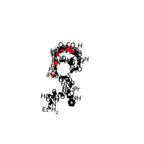 CCSC[C@H](N)C(=O)N[C@@H](CO)C(=O)NCC(=O)N[C@@H](Cc1c[nH]c2ccccc12)C(=O)N[C@H](C(=O)NC(=O)N[C@H]1C(=O)N[C@@H](CC(C)C)C(=O)N[C@H]2C(=O)N[C@@H](C(C)CC)C(=O)N[C@@H](CCC(=O)O)C(=O)N[C@@H](CS[C@H]1C)C(=O)NCC(=O)N[C@@H]1C(=O)N[C@@H](C(C)C)C(=O)N[C@@H](C(C)CC)C(=O)N[C@@H](CS[C@H]2C)C(=O)N[C@@H](C)C(=O)N[C@H](C(=O)O)C[S+]([O-])[C@H]1C)C(C)C